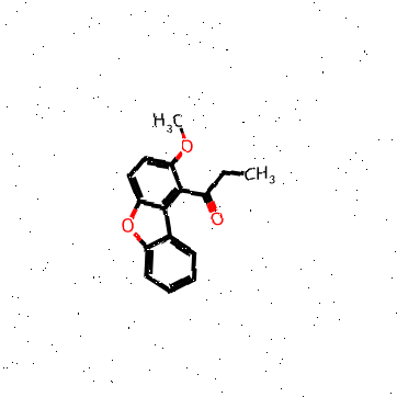 CCC(=O)c1c(OC)ccc2oc3ccccc3c12